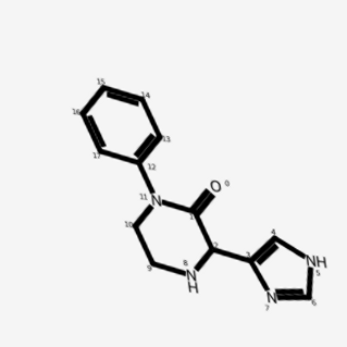 O=C1C(c2c[nH]cn2)NCCN1c1ccccc1